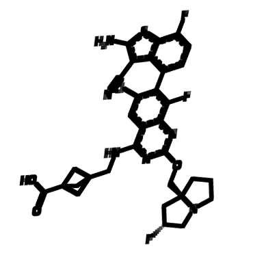 N#Cc1c(N)sc2c(F)ccc(-c3c(Cl)cc4c(NCC56CC(C(=O)O)(C5)C6)nc(OC[C@@]56CCCN5C[C@H](F)C6)nc4c3F)c12